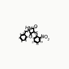 O=C1NN(Cc2ccccc2)C(=O)C1Sc1ccccc1[N+](=O)[O-]